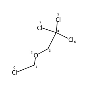 ClCOCC(Cl)(Cl)Cl